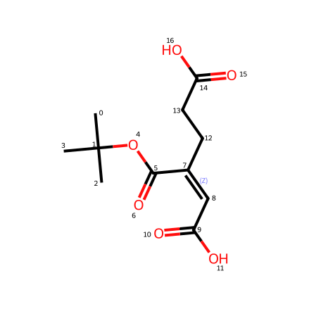 CC(C)(C)OC(=O)/C(=C\C(=O)O)CCC(=O)O